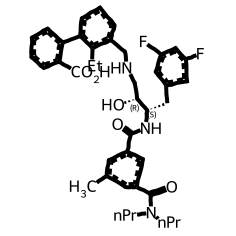 CCCN(CCC)C(=O)c1cc(C)cc(C(=O)N[C@@H](Cc2cc(F)cc(F)c2)[C@H](O)CNCc2cccc(-c3ccccc3C(=O)O)c2CC)c1